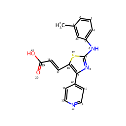 Cc1cccc(Nc2nc(-c3ccncc3)c(C=CC(=O)O)s2)c1